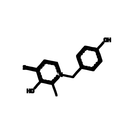 Cc1c(O)c(=S)ccn1Cc1ccc(O)cc1